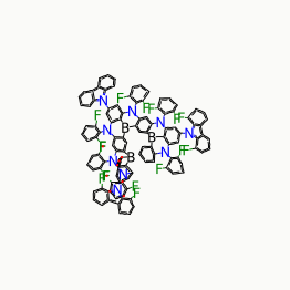 Fc1cccc(F)c1N1c2cc3c(cc2B2c4cc5c(cc4N(c4c(F)cccc4F)c4cc(-n6c7ccccc7c7ccccc76)cc1c42)N(c1c(F)cccc1F)c1cc(-n2c4c(F)cccc4c4cccc(F)c42)cc2c1B5c1ccccc1N2c1c(F)cccc1F)B1c2ccccc2N(c2c(F)cccc2F)c2cc(-n4c5c(F)cccc5c5cccc(F)c54)cc(c21)N3c1c(F)cccc1F